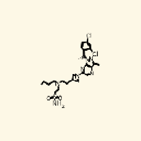 CCCCN(CCC1CN(c2cnc3c(C)nn([C@H](C)c4ccc(Cl)cc4Cl)c3n2)C1)CCS(N)(=O)=O